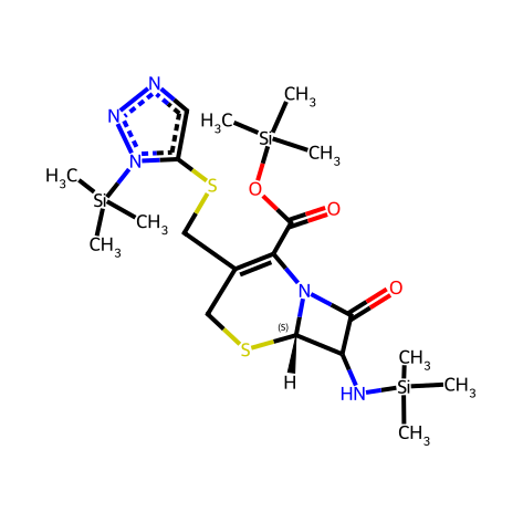 C[Si](C)(C)NC1C(=O)N2C(C(=O)O[Si](C)(C)C)=C(CSc3cnnn3[Si](C)(C)C)CS[C@@H]12